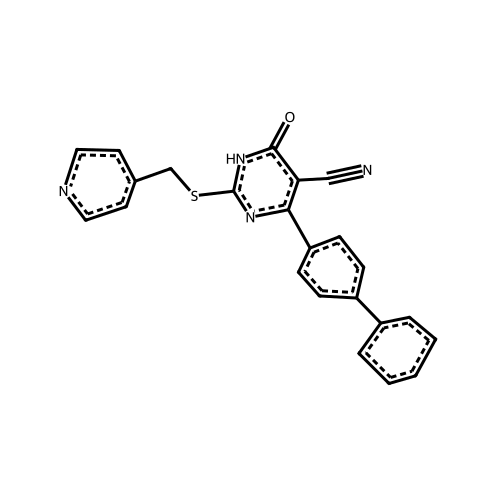 N#Cc1c(-c2ccc(-c3ccccc3)cc2)nc(SCc2ccncc2)[nH]c1=O